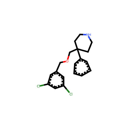 Clc1cc(Cl)cc(COCC2(c3ccccc3)CCNCC2)c1